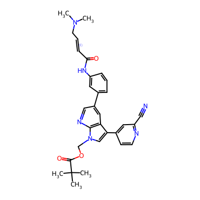 CN(C)C/C=C/C(=O)Nc1cccc(-c2cnc3c(c2)c(-c2ccnc(C#N)c2)cn3COC(=O)C(C)(C)C)c1